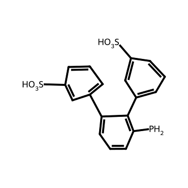 O=S(=O)(O)c1cccc(-c2cccc(P)c2-c2cccc(S(=O)(=O)O)c2)c1